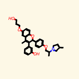 CC1=C(c2cccc(O)c2)C(c2ccc(OCC(C)N3CCC(C)C3)cc2)Oc2ccc(OCCCO)cc21